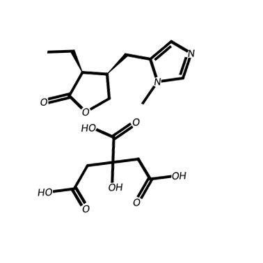 CC[C@@H]1C(=O)OC[C@@H]1Cc1cncn1C.O=C(O)CC(O)(CC(=O)O)C(=O)O